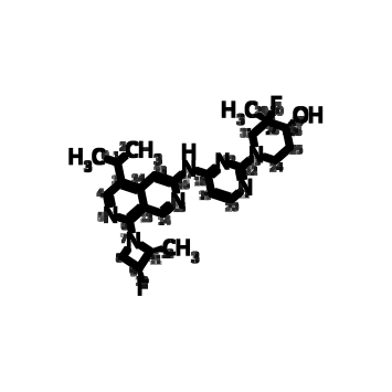 CC(C)c1cnc(N2C[C@H](F)[C@@H]2C)c2cnc(Nc3ccnc(N4CC[C@@H](O)[C@@](C)(F)C4)n3)cc12